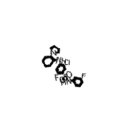 O=S(=O)(Nc1cccc(F)c1)c1cc(Cl)c(NC2CCCC[C@@H]2N2CCCC2)cc1F